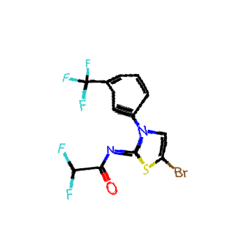 O=C(N=c1sc(Br)cn1-c1cccc(C(F)(F)F)c1)C(F)F